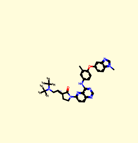 [2H]C([2H])([2H])N(C/C=C1\CCN(c2ccc3ncnc(Nc4ccc(Oc5ccc6c(c5)ncn6C)c(C)c4)c3n2)C1=O)C([2H])([2H])[2H]